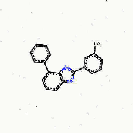 O=[N+]([O-])c1cccc(-c2nc3c(-c4ccccc4)cccc3[nH]2)c1